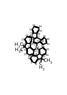 CC1(C)c2ccccc2-c2c(N(c3cccc4c3-c3ccccc3C4(C)C)c3cc4oc5ccccc5c4c4ccccc34)cccc21